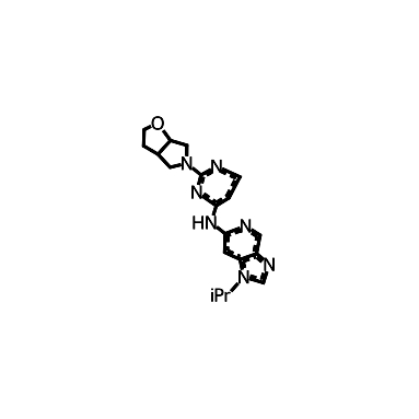 CC(C)n1cnc2cnc(Nc3ccnc(N4CC5CCOC5C4)n3)cc21